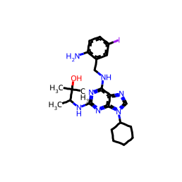 CC(Nc1nc(NCc2cc(I)ccc2N)c2ncn(C3CCCCC3)c2n1)C(C)(C)O